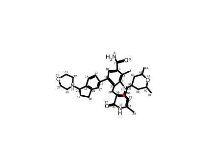 CCN(c1c(C)c(C(N)=O)cc(-c2ccc3c(c2)CCC3N2CCOCC2)c1Cc1c(C)cc(C)[nH]c1=O)C1CC(C)OC(C)C1